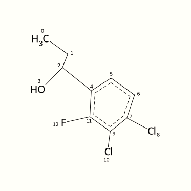 CCC(O)c1ccc(Cl)c(Cl)c1F